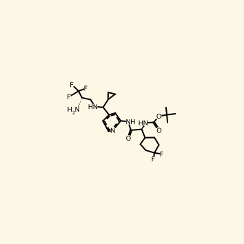 CC(C)(C)OC(=O)N[C@H](C(=O)Nc1cc(C(NC[C@H](N)C(F)(F)F)C2CC2)ccn1)C1CCC(F)(F)CC1